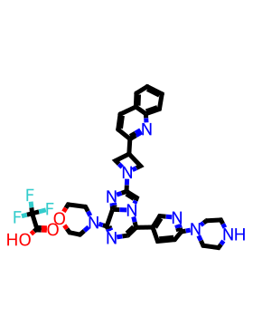 O=C(O)C(F)(F)F.c1ccc2nc(C3CN(c4cn5c(-c6ccc(N7CCNCC7)nc6)cnc(N6CCOCC6)c5n4)C3)ccc2c1